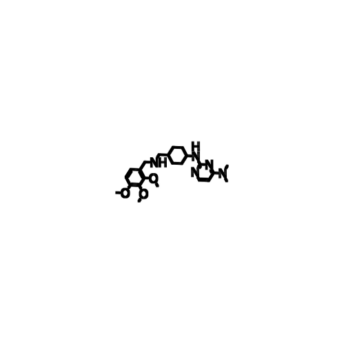 COc1ccc(CNCC2CCC(Nc3nccc(N(C)C)n3)CC2)c(OC)c1OC